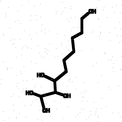 OCCCCCCC(O)C(O)C(O)O